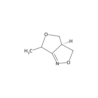 CC1OC[C@H]2CON=C12